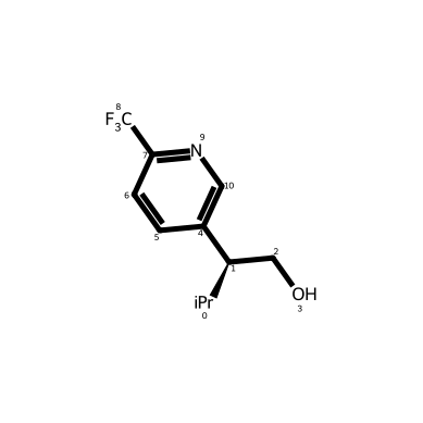 CC(C)[C@H](CO)c1ccc(C(F)(F)F)nc1